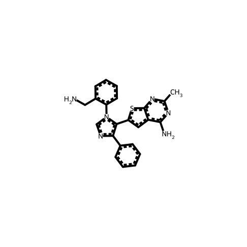 Cc1nc(N)c2cc(-c3c(-c4ccccc4)ncn3-c3ccccc3CN)sc2n1